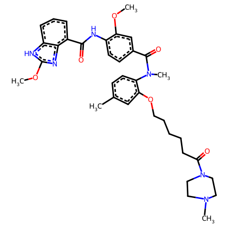 COc1nc2c(C(=O)Nc3ccc(C(=O)N(C)c4ccc(C)cc4OCCCCCC(=O)N4CCN(C)CC4)cc3OC)cccc2[nH]1